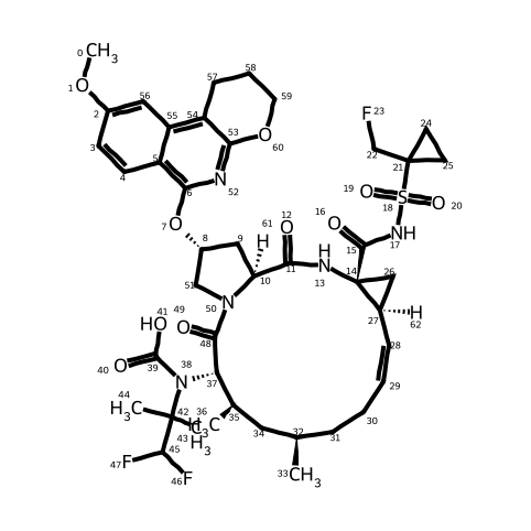 COc1ccc2c(O[C@@H]3C[C@H]4C(=O)N[C@]5(C(=O)NS(=O)(=O)C6(CF)CC6)C[C@H]5C=CCC[C@@H](C)C[C@@H](C)[C@H](N(C(=O)O)C(C)(C)C(F)F)C(=O)N4C3)nc3c(c2c1)CCCO3